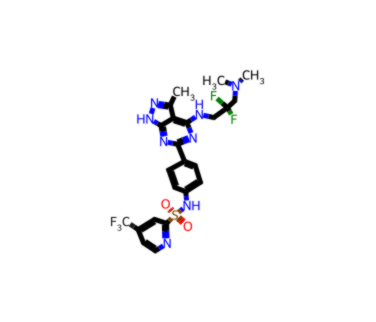 Cc1n[nH]c2nc(-c3ccc(NS(=O)(=O)c4cc(C(F)(F)F)ccn4)cc3)nc(NCC(F)(F)CN(C)C)c12